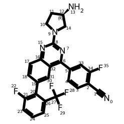 N#Cc1ccc(-c2nc(N3CC[C@@H](N)C3)nc3ccc(-c4c(F)cccc4C(F)(F)F)cc23)cc1F